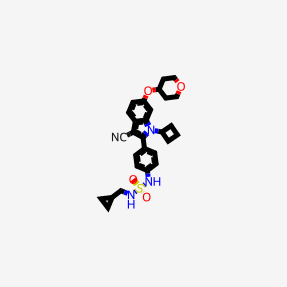 N#Cc1c(-c2ccc(NS(=O)(=O)NCC3CC3)cc2)n(C2CCC2)c2cc(OC3CCOCC3)ccc12